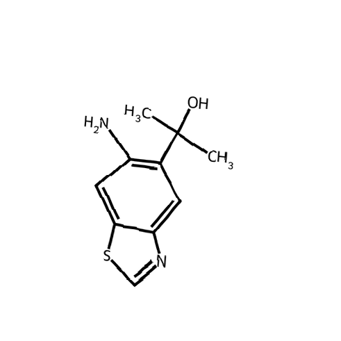 CC(C)(O)c1cc2ncsc2cc1N